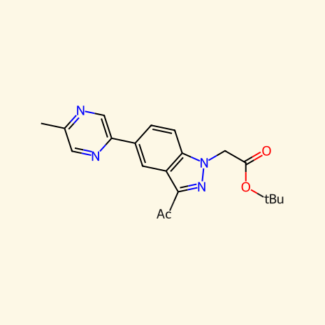 CC(=O)c1nn(CC(=O)OC(C)(C)C)c2ccc(-c3cnc(C)cn3)cc12